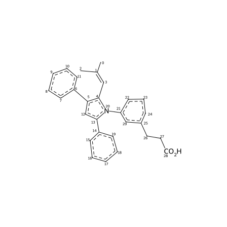 CC(C)=Cc1c(-c2ccccc2)cc(-c2ccccc2)n1-c1cccc(CCC(=O)O)c1